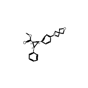 COC(=O)[C@@H]1[C@H](c2ccccc2)[C@H]1c1ccc(N2CC3(COC3)C2)cc1